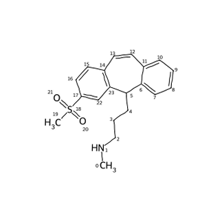 CNCCCC1c2ccccc2C=Cc2ccc(S(C)(=O)=O)cc21